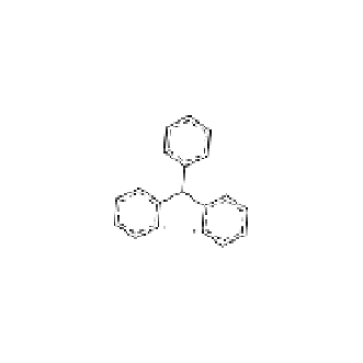 [c]1ccccc1C(c1[c]cccc1)c1ccccc1